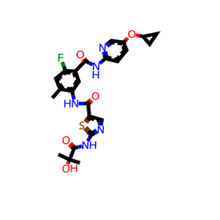 Cc1cc(F)c(C(=O)Nc2ccc(OC3CC3)cn2)cc1NC(=O)c1cnc(NC(=O)C(C)(C)O)s1